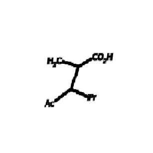 CC(=O)C(C(C)C)C(C)C(=O)O